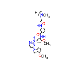 COc1ccc(Nc2nccc(-n3ccc4c(OC)cccc43)n2)cc1NC(=O)c1cccc(NC(=O)C=CCN(C)C)c1